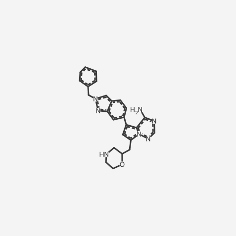 Nc1ncnn2c(CC3CNCCO3)cc(-c3ccc4cn(Cc5ccccc5)nc4c3)c12